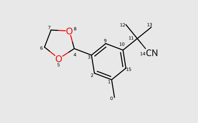 Cc1cc(C2OCCO2)cc(C(C)(C)C#N)c1